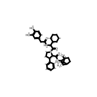 CC1(C)C2CCC1(C)C(OC(=O)C1C(c3ccccc3)CCN1C(=O)C(NC(=O)Cc1ccc(O)c(O)c1)C1CCCCC1)C2